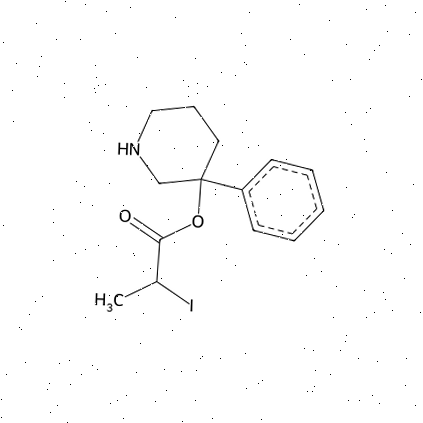 CC(I)C(=O)OC1(c2ccccc2)CCCNC1